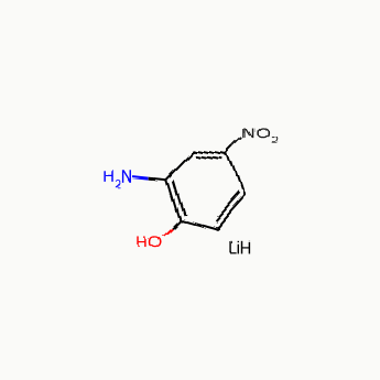 Nc1cc([N+](=O)[O-])ccc1O.[LiH]